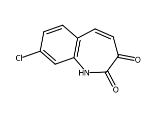 O=c1ccc2ccc(Cl)cc2[nH]c1=O